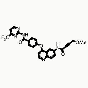 COCC#CC(=O)Nc1ccc2nccc(Oc3ccc(C(=O)Nc4nccc(C(F)(F)F)n4)cc3)c2c1